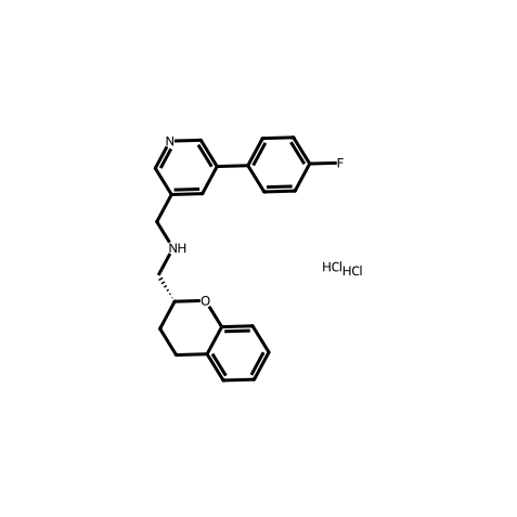 Cl.Cl.Fc1ccc(-c2cncc(CNC[C@H]3CCc4ccccc4O3)c2)cc1